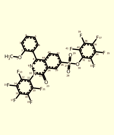 COc1ccccc1-c1nn(-c2c(F)c(F)c(F)c(F)c2F)c(=O)c2cc(S(=O)(=O)Oc3c(F)c(F)c(F)c(F)c3F)ccc12